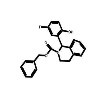 O=C(OCc1ccccc1)N1CCc2ccccc2C1c1cc(F)ccc1O